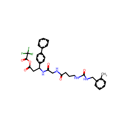 Cc1ccccc1CNC(=O)NCCCC(=O)NCC(=O)NC(CC(=O)OC(=O)C(F)(F)F)c1ccc(-c2ccccc2)cc1